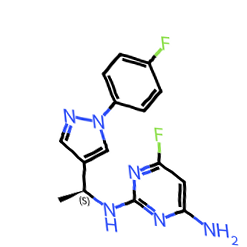 C[C@H](Nc1nc(N)cc(F)n1)c1cnn(-c2ccc(F)cc2)c1